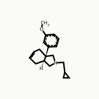 COc1cccc([C@]23CC=CC[C@@H]2CN(CC2CC2)C3)c1